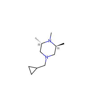 C[C@H]1CN(CC2CC2)C[C@H](C)N1C